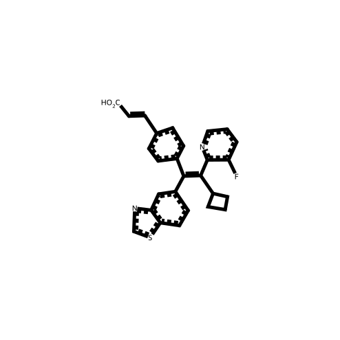 O=C(O)/C=C/c1ccc(/C(=C(\c2ncccc2F)C2CCC2)c2ccc3scnc3c2)cc1